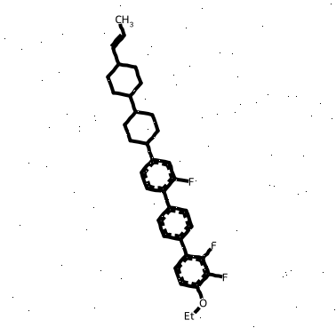 C/C=C/C1CCC(C2CCC(c3ccc(-c4ccc(-c5ccc(OCC)c(F)c5F)cc4)c(F)c3)CC2)CC1